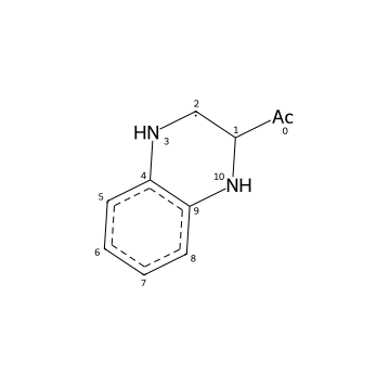 CC(=O)C1[CH]Nc2ccccc2N1